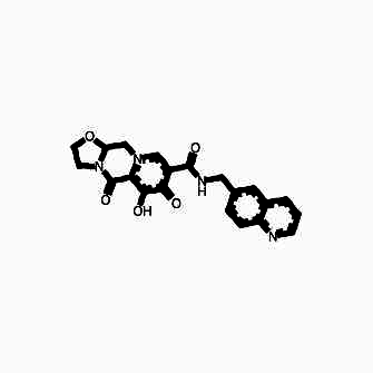 O=C(NCc1ccc2ncccc2c1)c1cn2c(c(O)c1=O)C(=O)N1CCOC1C2